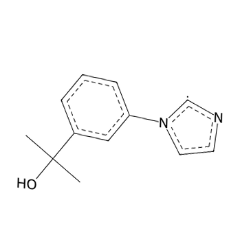 CC(C)(O)c1cccc(-n2[c]ncc2)c1